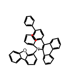 c1ccc(-c2ccc(-c3c(N(c4ccccc4)c4cccc5c4oc4ccccc45)c4ccccc4c4ccccc34)cc2)cc1